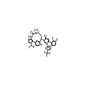 C[C@@H]1CCC[C@H](n2cnc(-c3c(-n4cc(C(F)(F)F)nn4)ccc(F)c3F)cc2=O)c2cc(ccn2)-c2c(cnn2C(F)F)NC1=O